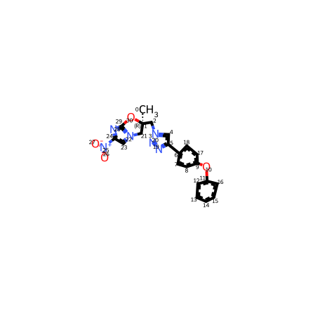 C[C@]1(Cn2cc(-c3ccc(Oc4ccccc4)cc3)nn2)Cn2cc([N+](=O)[O-])nc2O1